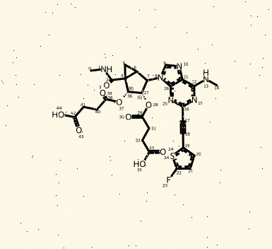 CNC(=O)C12CC1C(n1cnc3c(NC)nc(C#Cc4ccc(F)s4)nc31)[C@H](OC(=O)CCC(=O)O)[C@@H]2OC(=O)CCC(=O)O